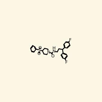 O=C(NCCC(c1ccc(F)cc1)c1ccc(F)cc1)N1CCC(S(=O)(=O)c2ccccc2)CC1